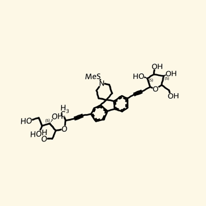 CSN1CCC2(CC1)c1cc(C#CC(C)OC(CO)[C@@H](O)C(O)CO)ccc1-c1ccc(C#CC3OC(CO)[C@@H](O)C(O)[C@@H]3O)cc12